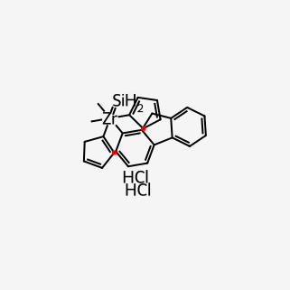 Cl.Cl.[CH3][Zr]([CH3])(=[SiH2])([C]1=CC=CC1)([C]1=CC=CC1)[c]1cccc2c1Cc1ccccc1-2